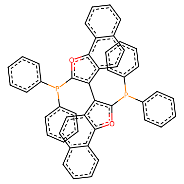 c1ccc(P(c2ccccc2)c2oc3c(ccc4ccccc43)c2-c2c(P(c3ccccc3)c3ccccc3)oc3c2ccc2ccccc23)cc1